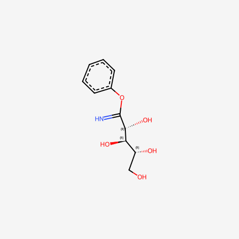 N=C(Oc1ccccc1)[C@H](O)[C@H](O)[C@H](O)CO